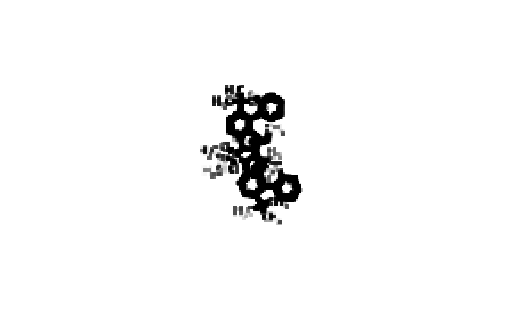 CCC(C)C1=Cc2c(ccc(C(C)(C)C)c2-c2ccccc2C)[CH]1[Zr]([Cl])([Cl])([CH]1C(C(C)CC)=Cc2c1ccc(C(C)(C)C)c2-c1ccccc1C)[SiH](C)C